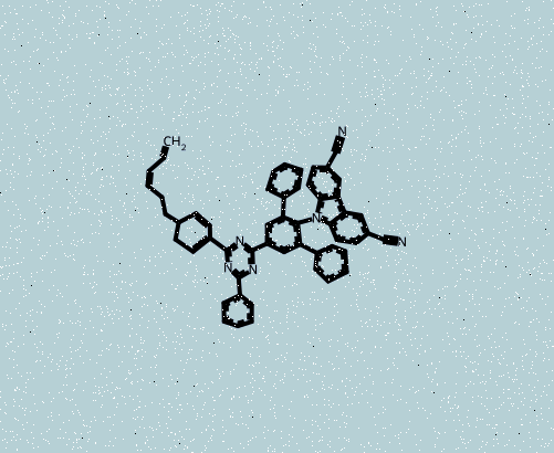 C=C/C=C\CCC1C=CC(c2nc(-c3ccccc3)nc(-c3cc(-c4ccccc4)c(-n4c5ccc(C#N)cc5c5cc(C#N)ccc54)c(-c4ccccc4)c3)n2)=CC1